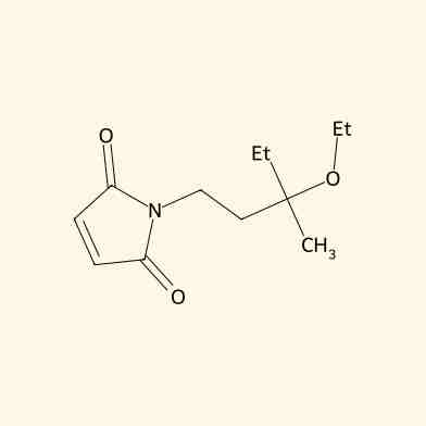 CCOC(C)(CC)CCN1C(=O)C=CC1=O